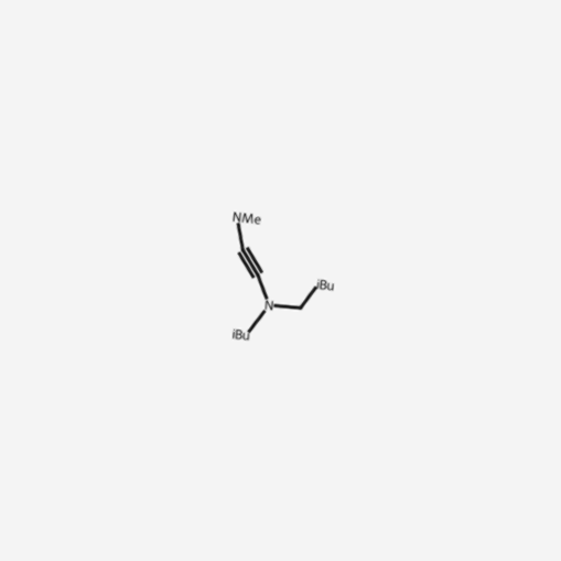 CCC(C)CN(C#CNC)C(C)CC